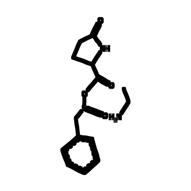 CCN.O=C1CCC(C(=O)OS(=O)Cc2ccccc2)N1